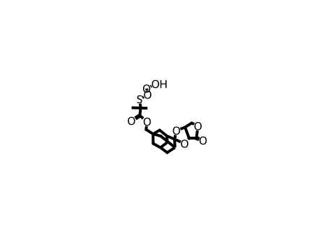 CC(C)(SOOO)C(=O)OCC12CC3CC(C1)C1(OC4COC(=O)C4O1)C(C3)C2